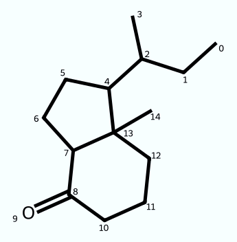 CCC(C)C1CCC2C(=O)CCCC21C